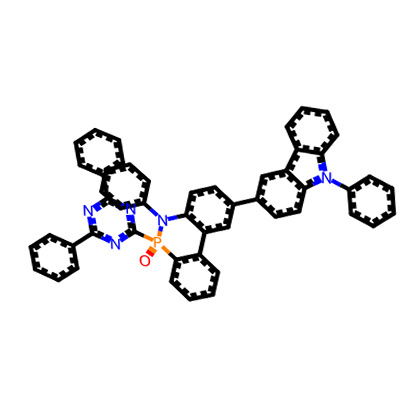 O=P1(c2nc(-c3ccccc3)nc(-c3ccccc3)n2)c2ccccc2-c2cc(-c3ccc4c(c3)c3ccccc3n4-c3ccccc3)ccc2N1c1ccccc1